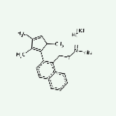 CCCC[NH][Ti][CH2]c1c(C2=C(C)C(C)=CC2C)ccc2ccccc12.Cl.Cl